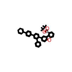 CC1(C)OB(c2cccc3oc4ccc(-c5ccc(-c6ccc(C7=CCCC=C7)cc6)cc5-c5ccccc5)cc4c23)OC1(C)C